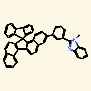 Cn1c(-c2cccc(-c3ccc4c5c(ccc4c3)-c3c(ccc4ccccc34)C53c4ccccc4-c4ccccc43)c2)nc2ccccc21